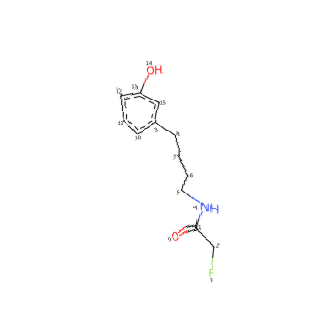 O=C(CF)NCCCCc1cccc(O)c1